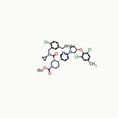 CC(=O)NCc1ccc(Cl)c(CN(C(=O)[C@@H]2CN(C(=O)OC(C)(C)C)CC[C@H]2c2ccc(N3CC[C@@H](Oc4c(Cl)cc(C)cc4Cl)C3)nc2)C2CC2)c1